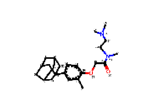 Cc1cc(C23CC4CC(CC(C4)C2)C3)ccc1OCC(=O)N(C)CCN(C)C